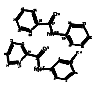 O=C(Nc1cccc(F)c1)c1ccccn1.O=C(Nc1ccccc1)c1ccccn1